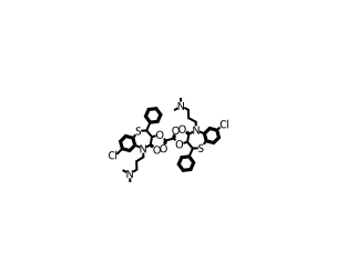 CN(C)CCCN1C(=O)C(OC(=O)C(=O)OC2C(=O)N(CCCN(C)C)c3cc(Cl)ccc3SC2c2ccccc2)C(c2ccccc2)Sc2ccc(Cl)cc21